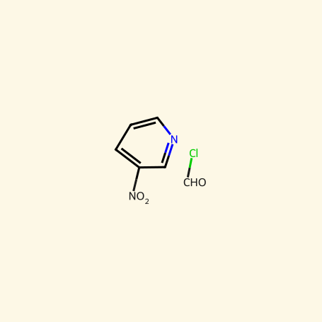 O=CCl.O=[N+]([O-])c1cccnc1